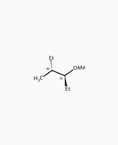 CC[C@@H](C)[C@H](CC)OC